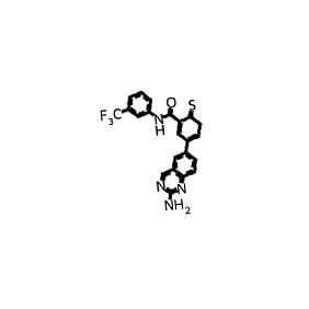 Nc1ncc2cc(C3=CCC(=S)C(C(=O)Nc4cccc(C(F)(F)F)c4)=C3)ccc2n1